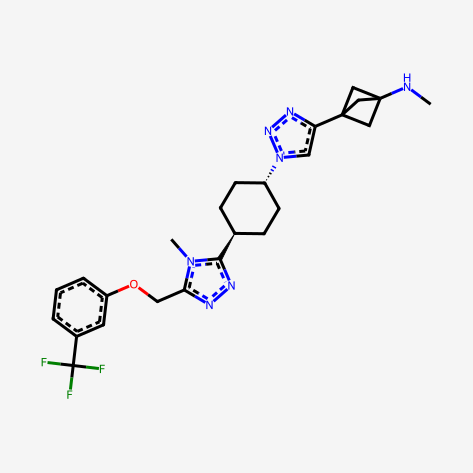 CNC12CC(c3cn([C@H]4CC[C@H](c5nnc(COc6cccc(C(F)(F)F)c6)n5C)CC4)nn3)(C1)C2